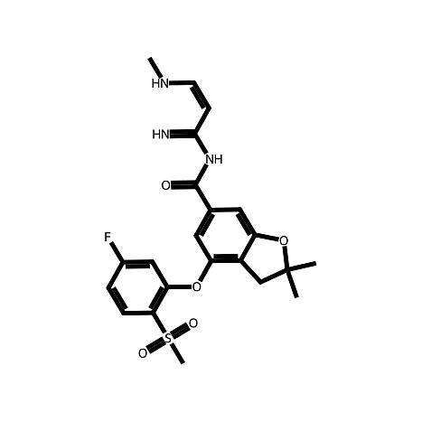 CN/C=C\C(=N)NC(=O)c1cc(Oc2cc(F)ccc2S(C)(=O)=O)c2c(c1)OC(C)(C)C2